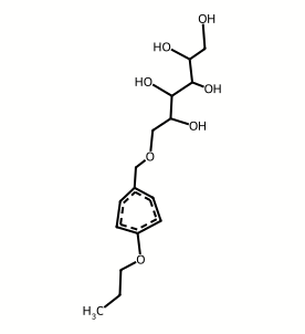 CCCOc1ccc(COCC(O)C(O)C(O)C(O)CO)cc1